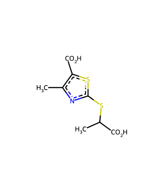 Cc1nc(SC(C)C(=O)O)sc1C(=O)O